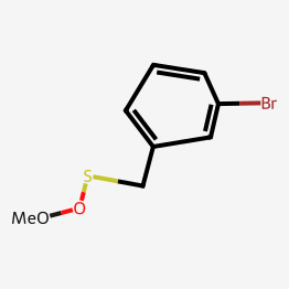 COOSCc1cccc(Br)c1